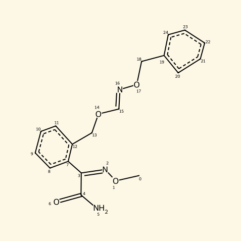 CON=C(C(N)=O)c1ccccc1COC=NOCc1ccccc1